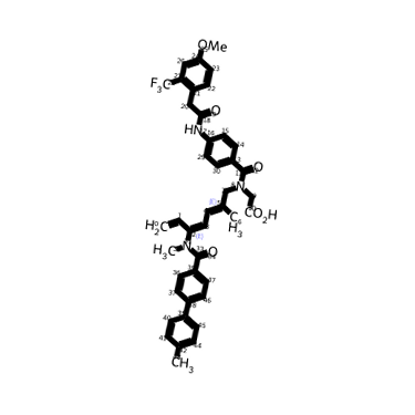 C=C/C(=C\C=C(/C)CN(CC(=O)O)C(=O)c1ccc(NC(=O)Cc2ccc(OC)cc2C(F)(F)F)cc1)N(C)C(=O)c1ccc(-c2ccc(C)cc2)cc1